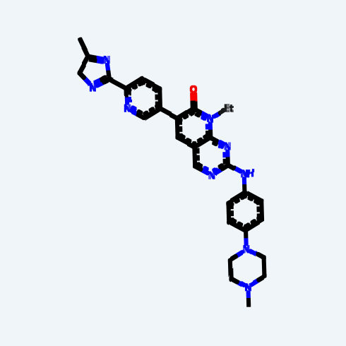 CCn1c(=O)c(-c2ccc(C3=NCC(C)=N3)nc2)cc2cnc(Nc3ccc(N4CCN(C)CC4)cc3)nc21